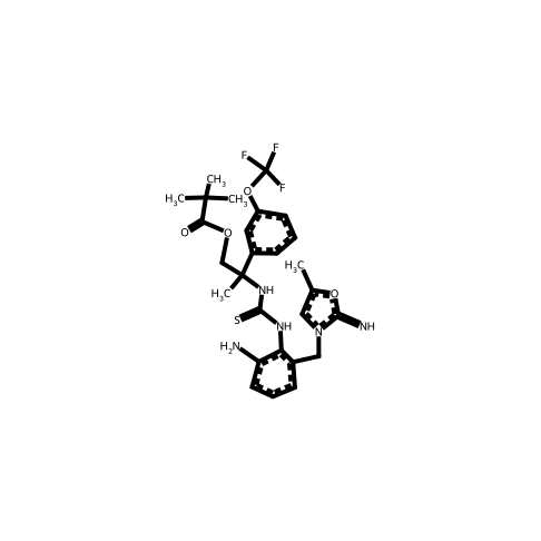 Cc1cn(Cc2cccc(N)c2NC(=S)NC(C)(COC(=O)C(C)(C)C)c2cccc(OC(F)(F)F)c2)c(=N)o1